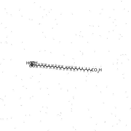 O=C(O)CCCCCCCCCCCCCCCCCCCCCCCCCCCCCCCCCCOP(=O)(O)O